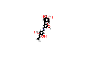 COc1cc(/C=C/c2cc(O)c(CC=C(C)C)c(O)c2)cc2c1O[C@]1(C)C[C@@H](O)[C@@H](O)C(C)(C)[C@H]1C2